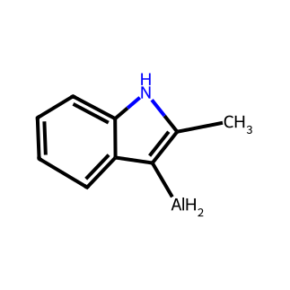 Cc1[nH]c2ccccc2[c]1[AlH2]